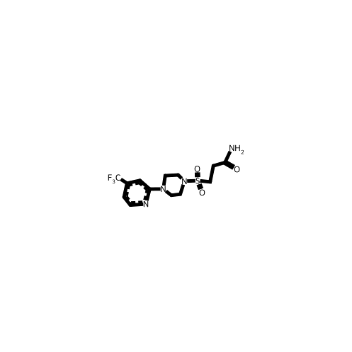 NC(=O)CCS(=O)(=O)N1CCN(c2cc(C(F)(F)F)ccn2)CC1